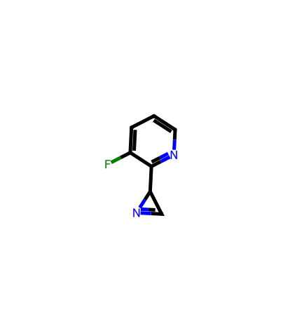 Fc1cccnc1C1C=N1